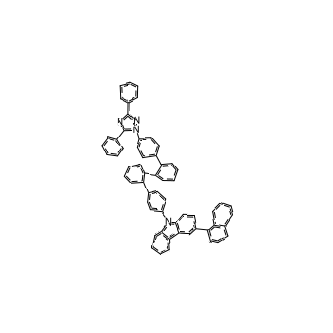 c1ccc(-c2nc(-c3ccccc3)n(-c3ccc(-c4ccccc4-c4ccccc4-c4ccc(-n5c6ccccc6c6cc(-c7cccc8ccccc78)ccc65)cc4)cc3)n2)cc1